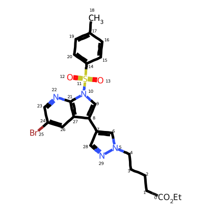 CCOC(=O)CCCCn1cc(-c2cn(S(=O)(=O)c3ccc(C)cc3)c3ncc(Br)cc23)cn1